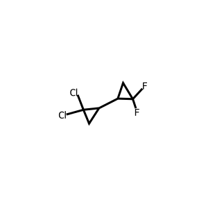 FC1(F)CC1C1CC1(Cl)Cl